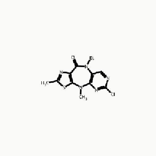 CCN1C(=O)c2nc(C)sc2N(C)c2nc(Cl)ncc21